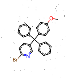 COc1ccc(C(c2ccccc2)(c2ccccc2)c2ccc(Br)nc2)cc1